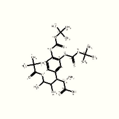 CC(OC(=O)C(C)(C)C)C(C)C(c1ccc(OC(=O)OC(C)(C)C)c(OC(=O)OC(C)(C)C)c1)[C@H](N)C(=O)O